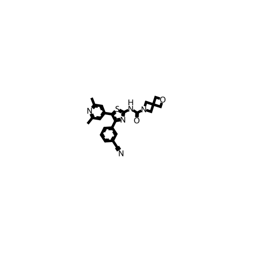 Cc1cc(-c2sc(NC(=O)N3CC4(COC4)C3)nc2-c2cccc(C#N)c2)cc(C)n1